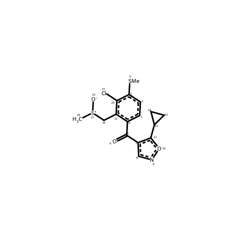 CSc1ccc(C(=O)c2cnoc2C2CC2)c(C[S+](C)[O-])c1Cl